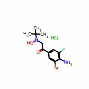 CC(C)(C)N(O)CC(=O)c1cc(F)c(N)c(Br)c1.Cl